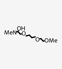 CNC(O)COCCCCOCCOC